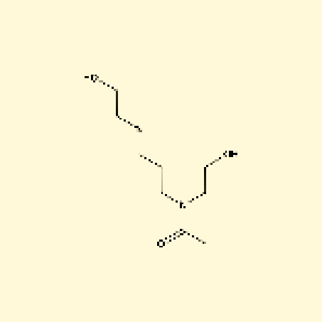 CC(=O)N(CCO)CCCSCCO